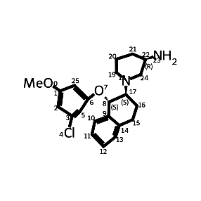 COc1cc(Cl)cc(O[C@H]2c3ccccc3CC[C@@H]2N2CCC[C@@H](N)C2)c1